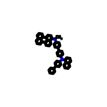 CN(c1ccc(-c2ccc(N(c3ccc(-c4ccccc4)cc3)c3cccc4ccccc34)cc2)cc1)c1ccc2c3cccc4cccc(c5cccc1c52)c43